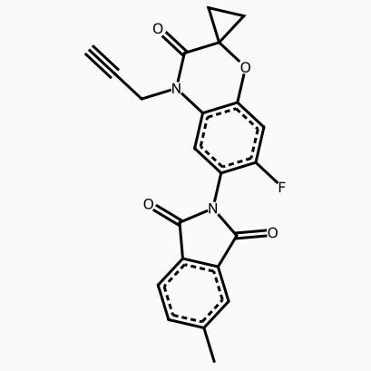 C#CCN1C(=O)C2(CC2)Oc2cc(F)c(N3C(=O)c4ccc(C)cc4C3=O)cc21